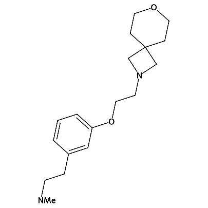 CNCCc1cccc(OCCN2CC3(CCOCC3)C2)c1